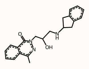 Cc1nn(CC(O)CNC2Cc3ccccc3C2)c(=O)c2ccccc12